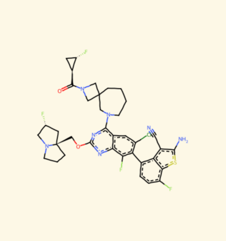 N#Cc1c(N)sc2c(F)ccc(-c3c(Cl)cc4c(N5CCCCC6(CN(C(=O)[C@H]7C[C@@H]7F)C6)C5)nc(OC[C@@]56CCCN5C[C@H](F)C6)nc4c3F)c12